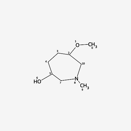 COC1CCC(O)CN(C)C1